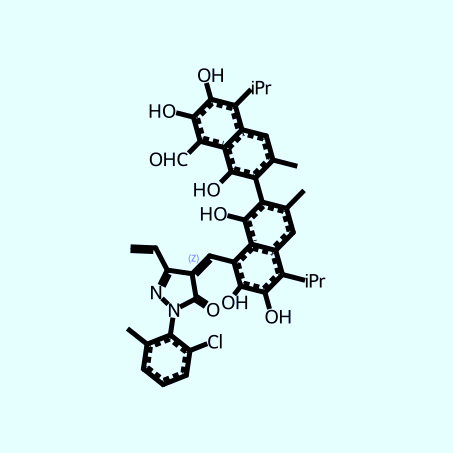 C=CC1=NN(c2c(C)cccc2Cl)C(=O)/C1=C\c1c(O)c(O)c(C(C)C)c2cc(C)c(-c3c(C)cc4c(C(C)C)c(O)c(O)c(C=O)c4c3O)c(O)c12